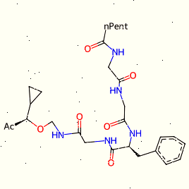 CCCCCC(=O)NCC(=O)NCC(=O)N[C@@H](Cc1ccccc1)C(=O)NCC(=O)NCO[C@@H](C(C)=O)C1CC1